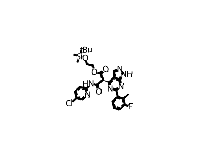 Cc1c(F)cccc1-c1nc([C@@H](C(=O)Nc2ccc(Cl)cn2)C(=O)OCCO[Si](C)(C)C(C)(C)C)c2cn[nH]c2n1